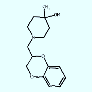 CC1(O)CCN(CC2COc3ccccc3O2)CC1